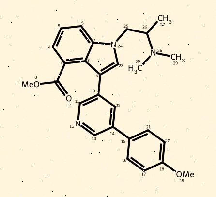 COC(=O)c1cccc2c1c(-c1cncc(-c3ccc(OC)cc3)c1)cn2CC(C)N(C)C